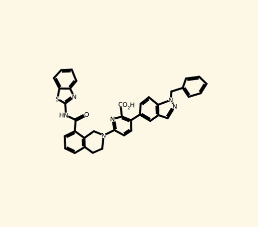 O=C(Nc1nc2ccccc2s1)c1cccc2c1CN(c1ccc(-c3ccc4c(cnn4Cc4ccccc4)c3)c(C(=O)O)n1)CC2